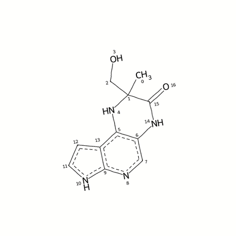 CC1(CO)Nc2c(cnc3[nH]ccc23)NC1=O